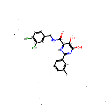 Cc1cccc(-c2nc(O)c(O)c(C(=O)NCc3ccc(F)c(Cl)c3)n2)c1